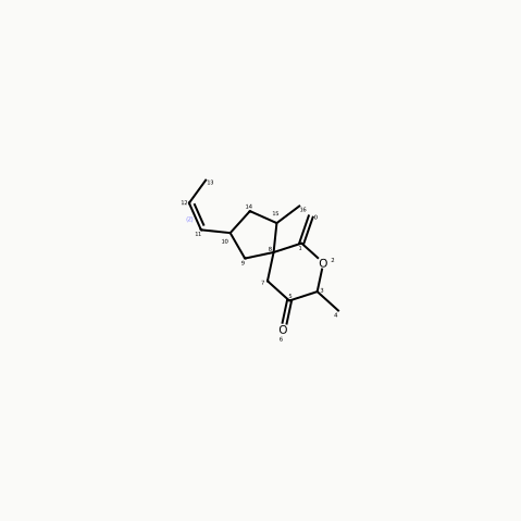 C=C1OC(C)C(=O)CC12CC(/C=C\C)CC2C